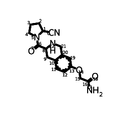 N#CC1CCCN1C(=O)C1Cc2ccc(OCC(N)=O)cc2CN1